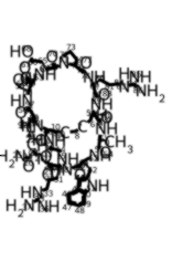 C[C@@H]1NC(=O)[C@@H]2CCCC[C@H](NC(=O)CN)C(=O)N[C@@H](CCC[C@@H](C(N)=O)NC(=O)[C@H](CCCNC(=N)N)NC(=O)[C@H](Cc3cc4ccccc4[nH]3)NC1=O)C(=O)N[C@@H](CO)C(=O)N[C@@H](CC(=O)O)C(=O)N1CCCC1C(=O)N[C@@H](CCCNC(=N)N)C(=O)N2